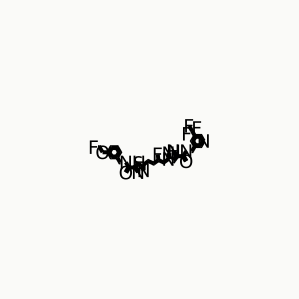 O=C(NCc1cncc(C(F)(F)F)c1)c1cn(CC(F)CCc2nnc(C(=O)NCc3cccc(OCF)c3)s2)nn1